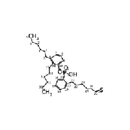 CCCCCCc1cccc(OP(=O)(O)c2ccccc2CCCCCC=S)c1CCCCCC